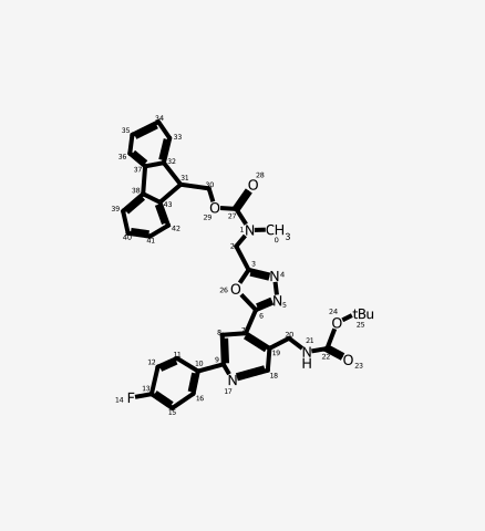 CN(Cc1nnc(-c2cc(-c3ccc(F)cc3)ncc2CNC(=O)OC(C)(C)C)o1)C(=O)OCC1c2ccccc2-c2ccccc21